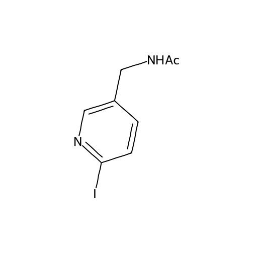 CC(=O)NCc1ccc(I)nc1